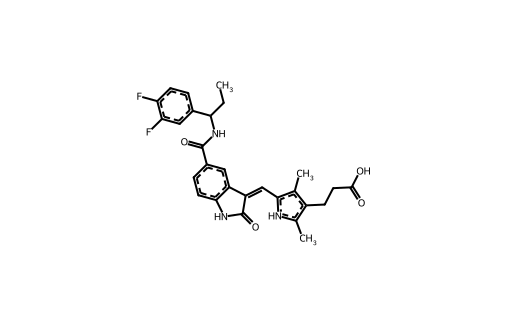 CCC(NC(=O)c1ccc2c(c1)C(=Cc1[nH]c(C)c(CCC(=O)O)c1C)C(=O)N2)c1ccc(F)c(F)c1